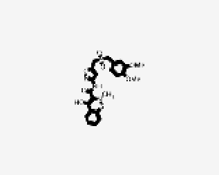 COc1ccc(CS(=O)(=O)Cc2cc(NC(=O)C3=C(O)c4ccccc4SN3C)no2)cc1OC